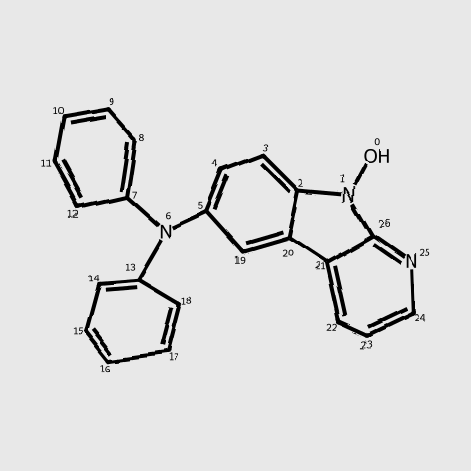 On1c2ccc(N(c3ccccc3)c3ccccc3)cc2c2cccnc21